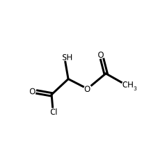 CC(=O)OC(S)C(=O)Cl